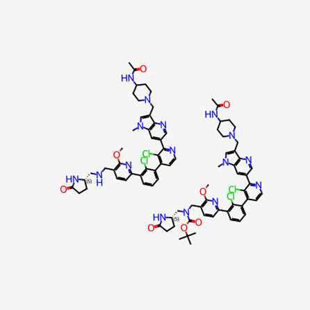 COc1nc(-c2cccc(-c3ccnc(-c4cnc5c(CN6CCC(NC(C)=O)CC6)cn(C)c5c4)c3Cl)c2Cl)ccc1CN(C[C@@H]1CCC(=O)N1)C(=O)OC(C)(C)C.COc1nc(-c2cccc(-c3ccnc(-c4cnc5c(CN6CCC(NC(C)=O)CC6)cn(C)c5c4)c3Cl)c2Cl)ccc1CNC[C@@H]1CCC(=O)N1